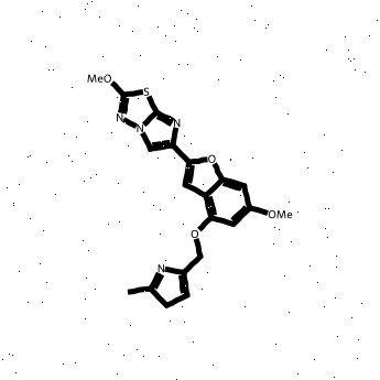 COc1cc(OCC2=CCC(C)=N2)c2cc(-c3cn4nc(OC)sc4n3)oc2c1